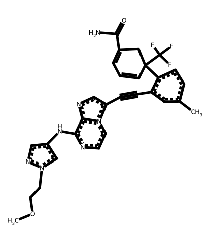 COCCn1cc(Nc2nccn3c(C#Cc4cc(C)ccc4C4(C(F)(F)F)C=CC=C(C(N)=O)C4)cnc23)cn1